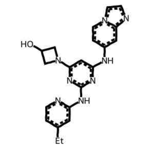 CCc1ccnc(Nc2nc(Nc3ccn4ccnc4c3)cc(N3CC(O)C3)n2)c1